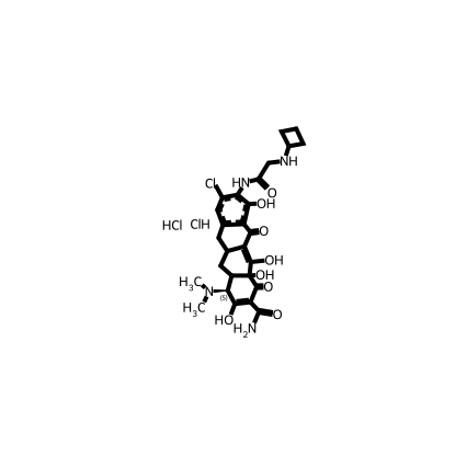 CN(C)[C@@H]1C(O)=C(C(N)=O)C(=O)C2(O)C(O)=C3C(=O)c4c(cc(Cl)c(NC(=O)CNC5CCC5)c4O)CC3CC12.Cl.Cl